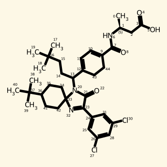 C[C@@H](CC(=O)O)NC(=O)C1=CC=C(C(CCC(C)(C)C)N2C(=O)C(c3cc(Cl)cc(Cl)c3)=NC23CCC(C(C)(C)C)CC3)CC1